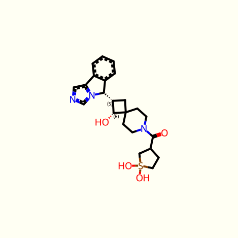 O=C(C1CCS(O)(O)C1)N1CCC2(CC1)C[C@@H](C1c3ccccc3-c3cncn31)[C@H]2O